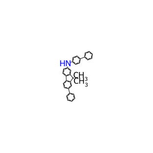 CC1(C)c2cc(Nc3ccc(-c4ccccc4)cc3)ccc2-c2ccc(-c3ccccc3)cc21